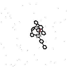 c1ccc(-c2ccc(-c3nc4nc(n3)n3c5ccccc5c5ccc6c7ccccc7n(c7ccc(cc7-c7ccccc7)c7ccccc47)c6c53)cc2)cc1